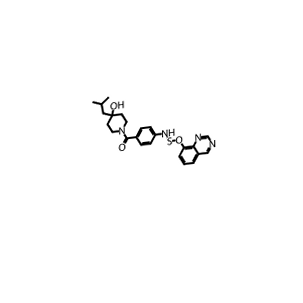 CC(C)CC1(O)CCN(C(=O)c2ccc(NSOc3cccc4cncnc34)cc2)CC1